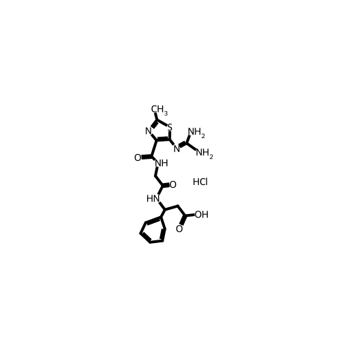 Cc1nc(C(=O)NCC(=O)NC(CC(=O)O)c2ccccc2)c(N=C(N)N)s1.Cl